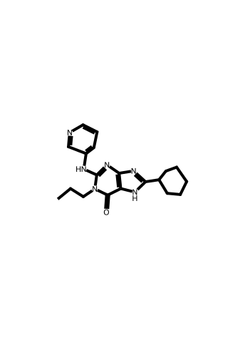 CCCn1c(Nc2cccnc2)nc2nc(C3CCCCC3)[nH]c2c1=O